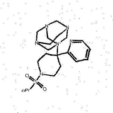 CCCS(=O)(=O)N1CCC(c2ccccn2)([N+]23CN4CN(CN(C4)C2)C3)CC1